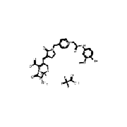 COc1cc(NC(=O)C[n+]2ccc(CN3CCC(=CC4=C(C(=O)[O-])N5C(=O)[C@@H](N)[C@H]5SC4)C3=O)cc2)ccc1O.O=C(O)C(F)(F)F